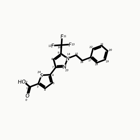 O=C(O)c1ccc(-c2cc(C(F)(F)F)n(CCc3ccccc3)n2)s1